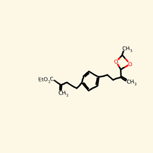 C=C(CCc1ccc(CCC(=C)C2OC(C)O2)cc1)C(=O)OCC